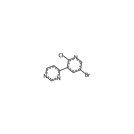 Clc1ncc(Br)cc1-c1ccncn1